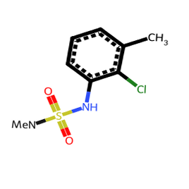 CNS(=O)(=O)Nc1cccc(C)c1Cl